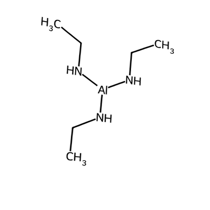 CC[NH][Al]([NH]CC)[NH]CC